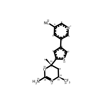 C[C@@]1(c2cc(-c3cncc(C#N)c3)cs2)C[C@@H](C(F)(F)F)N=C(N)O1